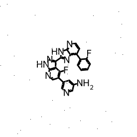 Nc1cncc(-c2cnc3[nH]nc(-c4nc5c(-c6ccccc6F)ccnc5[nH]4)c3c2F)c1